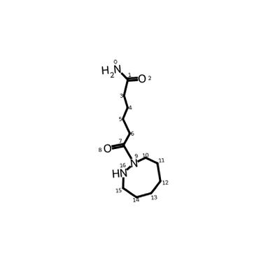 NC(=O)CCCCC(=O)N1CCCCCCN1